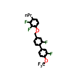 CCCc1ccc(OCc2ccc(-c3ccc(OC(F)(F)F)c(F)c3)c(F)c2)c(F)c1F